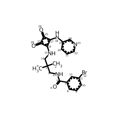 CC(C)(CNC(=O)c1cccc(Br)c1)CNc1c(Nc2cccnc2)c(=O)c1=O